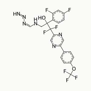 N=N/N=C\NCC(O)(c1ccc(F)cc1F)C(F)(F)c1cnc(-c2ccc(OC(F)(F)F)cc2)cn1